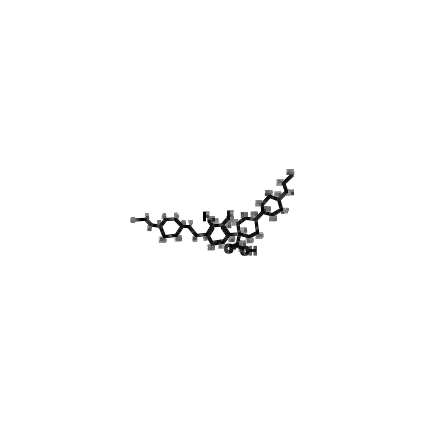 CCCC1CCC(CCc2ccc(C3(C(=O)O)CCC(C4CCC(CCC)CC4)CC3)c(F)c2F)CC1